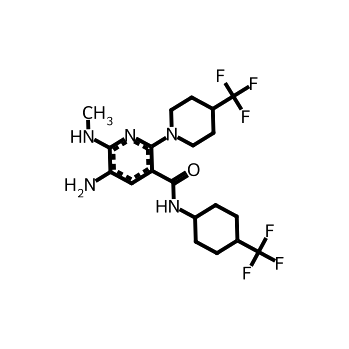 CNc1nc(N2CCC(C(F)(F)F)CC2)c(C(=O)NC2CCC(C(F)(F)F)CC2)cc1N